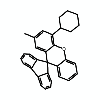 Cc1cc(C2CCCCC2)c2c(c1)C1(c3ccccc3O2)c2ccccc2-c2ccccc21